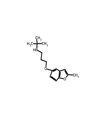 Cc1cc2cc(OCCCNC(C)(C)C)ccc2o1